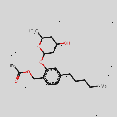 CNCCCCc1ccc(COC(=O)C(C)C)c(OC2CC(O)CC(C(=O)O)O2)c1